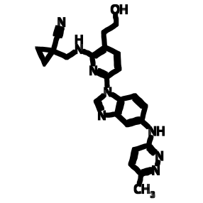 Cc1ccc(Nc2ccc3c(c2)ncn3-c2ccc(CCO)c(NCC3(C#N)CC3)n2)nn1